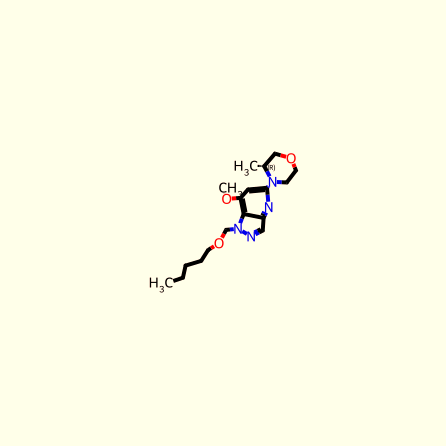 CCCCCOCn1ncc2nc(N3CCOC[C@H]3C)cc(OC)c21